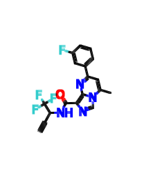 C#CC(NC(=O)c1ncn2c(C)cc(-c3cccc(F)c3)nc12)C(F)(F)F